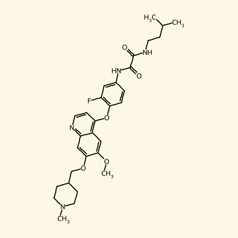 COc1cc2c(Oc3ccc(NC(=O)C(=O)NCCC(C)C)cc3F)ccnc2cc1OCC1CCN(C)CC1